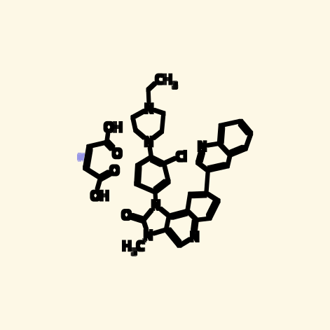 CCN1CCN(c2ccc(-n3c(=O)n(C)c4cnc5ccc(-c6cnc7ccccc7c6)cc5c43)cc2Cl)CC1.O=C(O)/C=C\C(=O)O